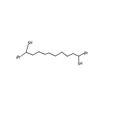 CC(C)C(S)CCCCCCCCC(S)C(C)C